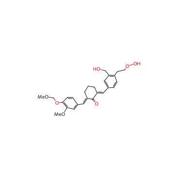 COCOc1ccc(/C=C2\CCC/C(=C\c3ccc(CCOO)c(CO)c3)C2=O)cc1OC